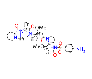 CC[C@H](C)[C@@H]([C@H](CC(=O)N1CCC[C@H]1[C@H](OC)[C@@H](C)C(=O)NS(=O)(=O)c1ccc(N)cc1)OC)N(C)C(=O)[C@@H](NC(=O)[C@H]1CCCCN1C(C)C)C(C)C